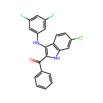 O=C(c1ccccc1)c1[nH]c2cc(Cl)ccc2c1Nc1cc(F)cc(F)c1